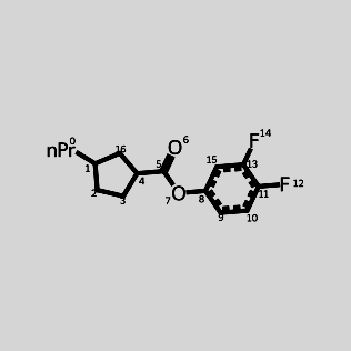 CCCC1CCC(C(=O)Oc2ccc(F)c(F)c2)C1